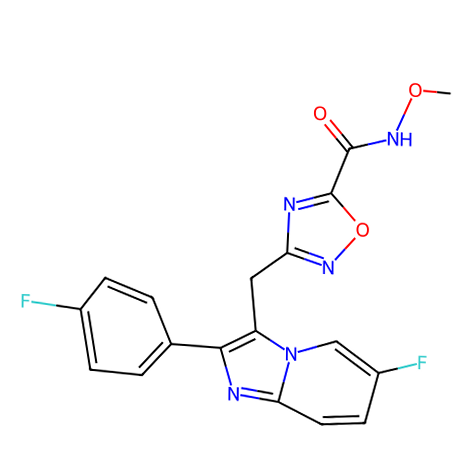 CONC(=O)c1nc(Cc2c(-c3ccc(F)cc3)nc3ccc(F)cn23)no1